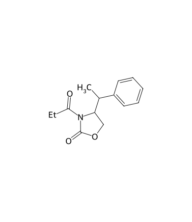 CCC(=O)N1C(=O)OCC1C(C)c1ccccc1